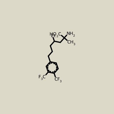 CCC(CCCc1ccc(C(F)(F)F)c(C(F)(F)F)c1)CC(C)(N)C(=O)O